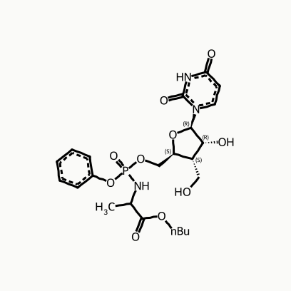 CCCCOC(=O)C(C)NP(=O)(OC[C@H]1O[C@@H](n2ccc(=O)[nH]c2=O)[C@H](O)[C@@H]1CO)Oc1ccccc1